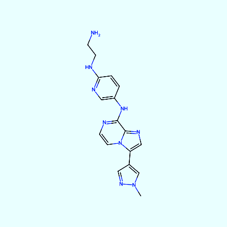 Cn1cc(-c2cnc3c(Nc4ccc(NCCN)nc4)nccn23)cn1